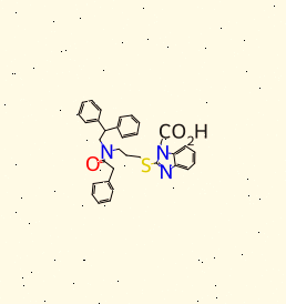 O=C(O)Cn1c(SCCCN(CC(c2ccccc2)c2ccccc2)C(=O)Cc2ccccc2)nc2ccccc21